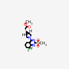 COC(=O)C[C@@H]1[C@H]2CN(c3nc(S(C)(=O)=O)nc4c3CCCC4(F)F)C[C@@H]12